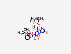 C[C@@H](c1nc2cc(Br)cnc2n1COCC[Si](C)(C)C)N(C(=O)O)C(Cc1ccccc1)OCC[Si](C)(C)C